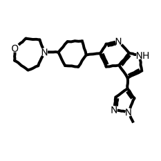 Cn1cc(-c2c[nH]c3ncc(C4CCC(N5CCCOCC5)CC4)cc23)cn1